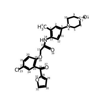 Cc1cc(N2CC[S+]([O-])CC2)ccc1NC(=O)COc1ccc(Cl)cc1C(=O)c1ccco1